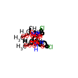 C=CC[C@@H](C)[C@@H](CCOCCOC)S(=O)(=O)NC(=O)c1cc(O[C@@H](/C=C/CCC)[C@@H]2CC[C@H]2CN2CCCCc3cc(Cl)ccc3COc3ccc(C(=O)NS(=O)(=O)[C@@H](CCOCCOC)[C@@H](C)CC=C)cc32)c2c(c1)N(C[C@@H]1CC[C@H]1[C@@H](O)/C=C/CCC)C[C@@]1(CCCc3cc(Cl)ccc31)CO2